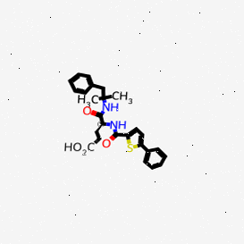 CC(C)(Cc1ccccc1)NC(=O)[C@H](CCC(=O)O)NC(=O)c1ccc(-c2ccccc2)s1